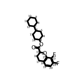 O=C(OC1CCC(C2CCCCC2)CC1)C1CCc2ccc(F)c(F)c2O1